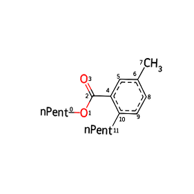 CCCCCOC(=O)c1cc(C)ccc1CCCCC